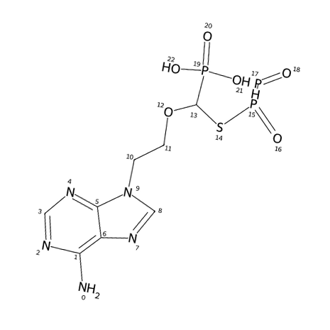 Nc1ncnc2c1ncn2CCOC(S[PH](=O)P=O)P(=O)(O)O